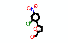 O=Cc1ccc(-c2ccc([N+](=O)[O-])cc2Cl)o1